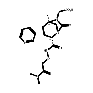 CN(C)C(=O)CONC(=O)[C@@H]1CC[C@@H]2CN1C(=O)N2OS(=O)(=O)O.c1ccncc1